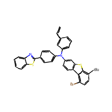 C=Cc1cccc(N(c2ccc(-c3nc4ccccc4s3)cc2)c2ccc3c(c2)sc2c(C(C)(C)C)ccc(Br)c23)c1